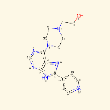 OCCN1CCN(c2ncnc3[nH]c(-c4ccncc4)nc23)CC1